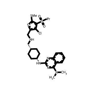 CSc1sc(CNC[C@H]2CC[C@@H](Nc3nc(N(C)C)c4ccccc4n3)CC2)c(Cl)c1S(=O)(=O)C(C)C